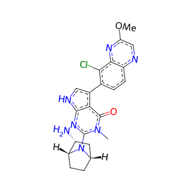 COc1cnc2ccc(-c3c[nH]c4nc(N5[C@H]6CC[C@@H]5[C@H](N)C6)n(C)c(=O)c34)c(Cl)c2n1